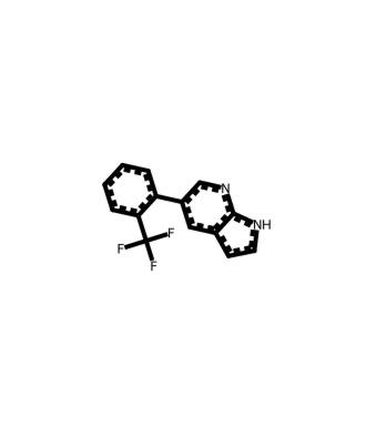 FC(F)(F)c1ccccc1-c1cnc2[nH]ccc2c1